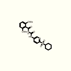 COc1cccc(OC)c1C(=O)NC(=O)Nc1ccc(S(=O)(=O)C2CCCCC2)nc1